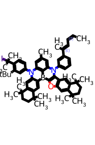 C/C=C\C=C(/C)c1cccc(N2c3cc(C)cc4c3B(c3cc5c(cc3N4c3ccc(C(C)(C)I)c(C(C)(C)C)c3)C(C)(C)CCC5(C)C)c3oc4cc5c(cc4c32)C(C)(C)CCC5(C)C)c1